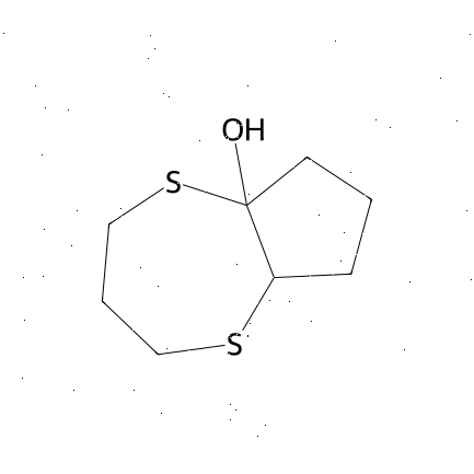 OC12CCCC1SCCCS2